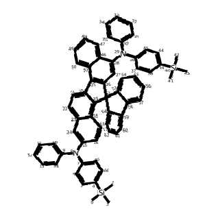 C[Si](C)(C)c1ccc(N(c2ccccc2)c2ccc3c4c(ccc3c2)-c2c(cc(N(c3ccccc3)c3ccc([Si](C)(C)C)cc3)c3ccccc23)C42c3ccccc3-c3ccccc32)cc1